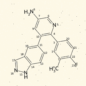 Cc1cc(-c2ncc(N)cc2-c2ccc3[nH]ncc3c2)ccc1F